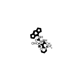 CC(=N)/C(=C1/OCCCN1C)[SH](=O)(C=O)NC(=O)Nc1c2c(cc3c1CCC3)CCC2